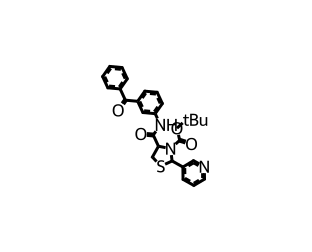 CC(C)(C)OC(=O)N1C(C(=O)Nc2cccc(C(=O)c3ccccc3)c2)CSC1c1cccnc1